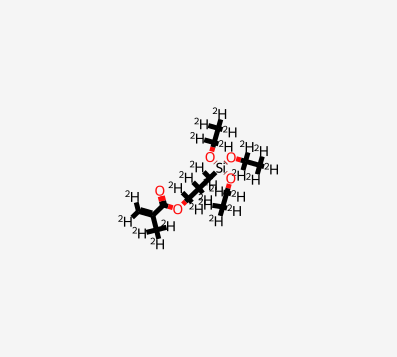 [2H]C([2H])=C(C(=O)OC([2H])([2H])C([2H])([2H])C([2H])([2H])[Si](OC([2H])([2H])C([2H])([2H])[2H])(OC([2H])([2H])C([2H])([2H])[2H])OC([2H])([2H])C([2H])([2H])[2H])C([2H])([2H])[2H]